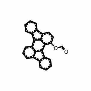 O=[C]Oc1ccc2c3ccccc3c3c4cccc5c6ccccc6c(c1c23)c54